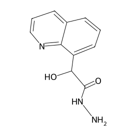 NNC(=O)C(O)c1cccc2cccnc12